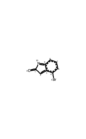 O=C1C=c2c(Br)cccc2=N1